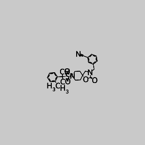 Cc1ccccc1C(C)(C)S(=O)(=O)N1CCC2(CC1)CN(Cc1cccc(C#N)c1)C(=O)O2